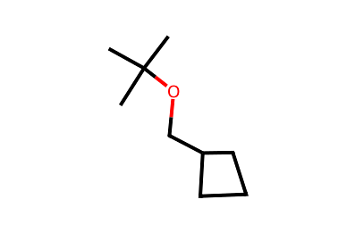 CC(C)(C)OCC1CCC1